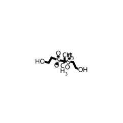 CC(C)(S(=O)(=O)CCO)S(=O)(=O)CCO